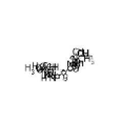 CC[C@H](C)[C@H](C)C(=O)N1CCC[C@H]1C1=Nc2cc(-c3ccc(-c4ccc5nc([C@@H]6CCCN6C(=O)[C@@H](NC(=O)OC)C(C)C)[nH]c5c4)c4c3CC3CCCC43)ccc2S(=O)(=O)N1